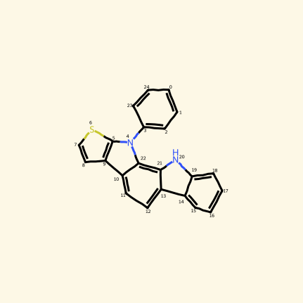 c1ccc(-n2c3sccc3c3ccc4c5ccccc5[nH]c4c32)cc1